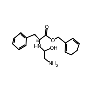 NCC(O)N[C@@H](Cc1ccccc1)C(=O)OCC1=CCCC=C1